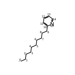 [CH2]CCCCCCCCCc1ccccn1